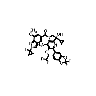 COc1cc(C(=O)NC[C@](O)(c2cc(C)c(OCC(F)F)c(-c3ccc4c(c3)OC(F)(F)O4)n2)C2CC2)cc2cn(C3(F)CC3)nc12